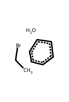 CCBr.O.c1ccccc1